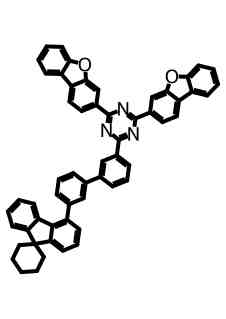 c1cc(-c2cccc(-c3cccc4c3-c3ccccc3C43CCCCC3)c2)cc(-c2nc(-c3ccc4c(c3)oc3ccccc34)nc(-c3ccc4c(c3)oc3ccccc34)n2)c1